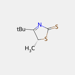 C[C@H]1SC(=S)N=C1C(C)(C)C